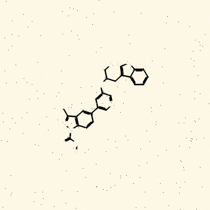 Cc1nn(C(=O)OC(C)(C)C)c2ccc(-c3cncc(OC(CN)Cc4c[nH]c5ccccc45)c3)cc12